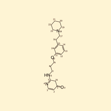 O=C1C=CN=C(NCCCOc2cccc(CCN3CCCCC3)c2)C1